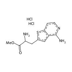 COC(=O)C(N)Cc1cc2c(N)nccc2s1.Cl.Cl